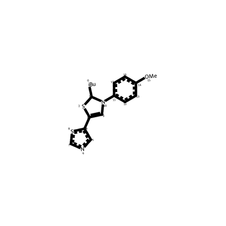 CCC(C)C1SC(c2cncs2)=[C]N1c1ccc(OC)cc1